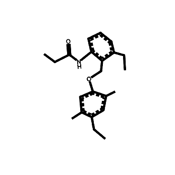 CCC(=O)Nc1cccc(CC)c1COc1cc(C)c(CC)cc1C